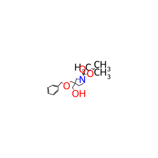 CC(C)(C)OC(=O)N1CCC(CO)(COCc2ccccc2)C1